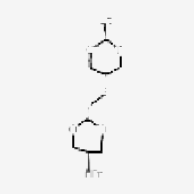 CCC[C@H]1CO[C@H](CC[C@H]2CO[C@H](CC)OC2)OC1